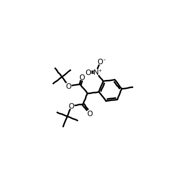 Cc1ccc(C(C(=O)OC(C)(C)C)C(=O)OC(C)(C)C)c([N+](=O)[O-])c1